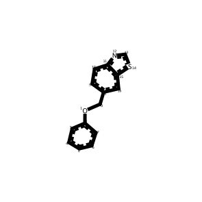 [CH](Oc1ccccc1)c1ccc2ncsc2c1